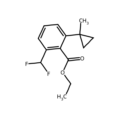 CCOC(=O)c1c(C(F)F)cccc1C1(C)CC1